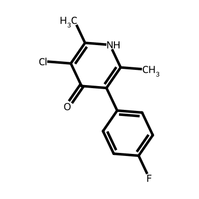 Cc1[nH]c(C)c(-c2ccc(F)cc2)c(=O)c1Cl